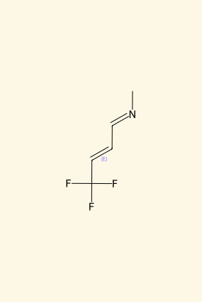 CN=C/C=C/C(F)(F)F